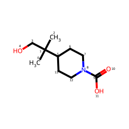 CC(C)(CO)C1CCN(C(=O)O)CC1